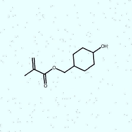 C=C(C)C(=O)OCC1CCC(O)CC1